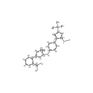 CCn1cc(C(F)(F)F)nc1-c1ccc(Cc2cc(-c3ccccc3N(C)C)c[nH]2)cc1